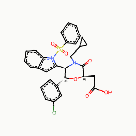 O=C(O)C[C@H]1O[C@H](c2cccc(Cl)c2)C(c2cc3ccccc3n2S(=O)(=O)c2ccccc2)N(CC2CC2)C1=O